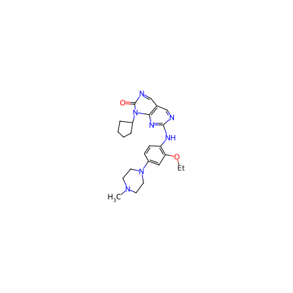 CCOc1cc(N2CCN(C)CC2)ccc1Nc1ncc2cnc(=O)n(C3CCCC3)c2n1